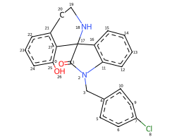 O=C1N(Cc2ccc(Cl)cc2)c2ccccc2C12NCCc1cccc(O)c12